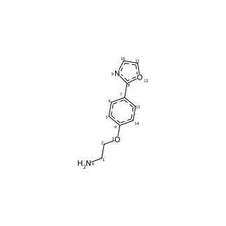 NCCOc1ccc(-c2ncco2)cc1